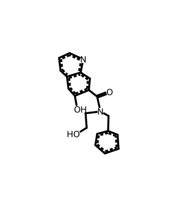 O=C(c1cc2ncccc2cc1O)N(CCO)Cc1ccccc1